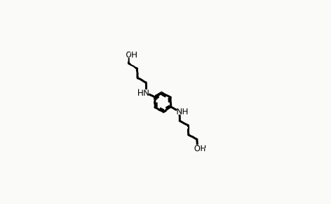 OCCCCNc1ccc(NCCCCO)cc1